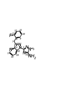 Cn1nc(-c2nn(Cc3ccccc3F)c3ncccc23)nc1N